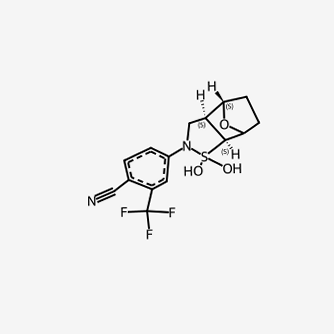 N#Cc1ccc(N2C[C@H]3[C@@H]4CCC(O4)[C@H]3S2(O)O)cc1C(F)(F)F